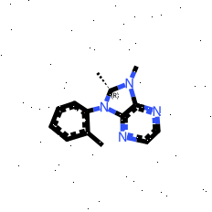 Cc1ccccc1N1c2nccnc2N(C)[C@H]1C